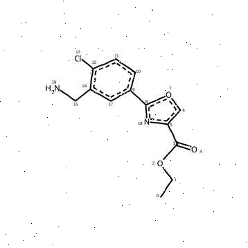 CCOC(=O)c1coc(-c2ccc(Cl)c(CN)c2)n1